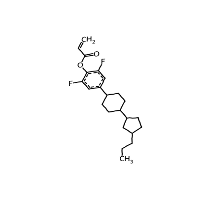 C=CC(=O)Oc1c(F)cc(C2CCC(C3CCC(CCC)C3)CC2)cc1F